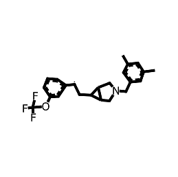 Cc1cc(C)cc(CN2CC3C(C[CH]c4cccc(OC(F)(F)F)c4)C3C2)c1